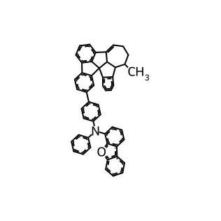 CC1CCC=C2c3cccc4c3C3(c5cc(-c6ccc(N(c7ccccc7)c7cccc8c7oc7ccccc78)cc6)ccc5-4)c4ccccc4C1C23